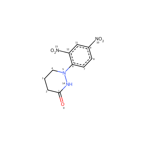 O=C1CCCN(c2ccc([N+](=O)[O-])cc2[N+](=O)[O-])N1